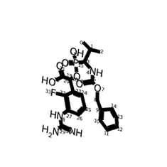 CC(C)C(NC(=O)OCc1ccccc1)P(=O)(O)OC(C(=O)O)c1cccc(NC(=N)N)c1F